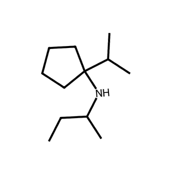 CCC(C)NC1(C(C)C)CCCC1